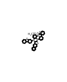 CC1=CC2=C3B(C4C=CCC5C4N(C3C1)C(C)(C)C51CCCCC1)C1SC3C=c4ccccc4=CC3C1N2C1CCC2C(C1)SC1C=CCCC12